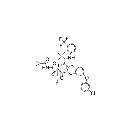 C=C[C@@H]1C[C@]1(NC(=O)[C@@H]1Cc2cc(Oc3cccc(Cl)c3)ccc2CN1C(=O)[C@@H](Nc1cccc(C(F)(F)F)c1)C(C)(C)C)C(=O)N[S+]([O-])C1CC1